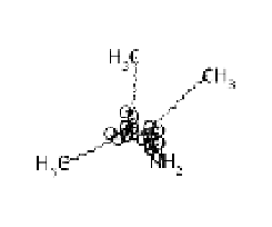 CCCCCCCCCCCCCCCCC(=O)O[C@@H]1[C@@H](COP(=O)(OCOC(=O)CCCCCCCCCCCC)OCOC(=O)CCCCCCCCCCCC)O[C@@H](n2ccc(N)nc2=O)C1(F)F